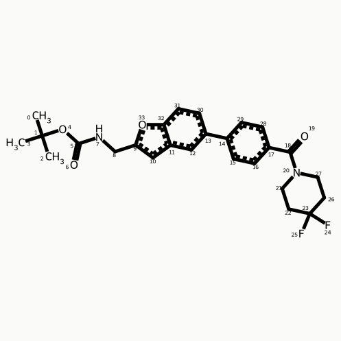 CC(C)(C)OC(=O)NCc1cc2cc(-c3ccc(C(=O)N4CCC(F)(F)CC4)cc3)ccc2o1